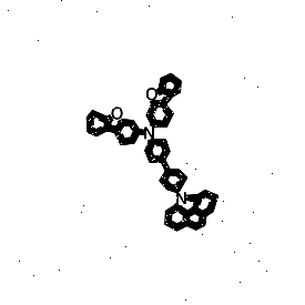 c1ccc2c(c1)oc1cc(N(c3ccc(-c4ccc(-n5c6cccc7ccc8cccc5c8c76)cc4)cc3)c3ccc4c(c3)oc3ccccc34)ccc12